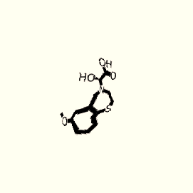 COC1=CCC=C2SCCN([C@@H](O)C(=O)O)CC2=C1